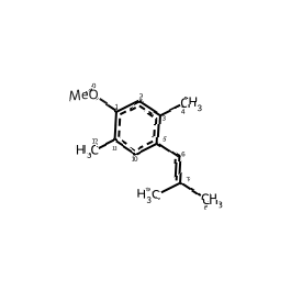 COc1cc(C)c(C=C(C)C)cc1C